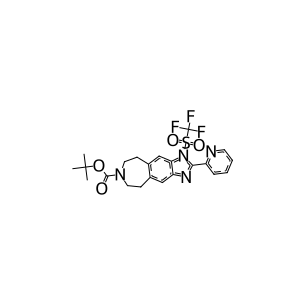 CC(C)(C)OC(=O)N1CCc2cc3nc(-c4ccccn4)n(S(=O)(=O)C(F)(F)F)c3cc2CC1